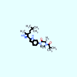 Cc1[nH]nc(-c2cc3ccc(N(C)C(=O)[C@H](C)N(C)C(=O)C(C)C)cc3[nH]2)c1CCC(C)(C)C